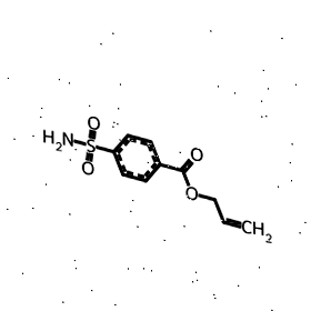 C=CCOC(=O)c1ccc(S(N)(=O)=O)cc1